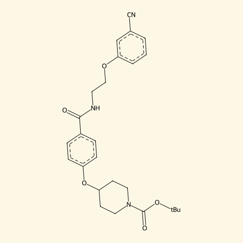 CC(C)(C)OC(=O)N1CCC(Oc2ccc(C(=O)NCCOc3cccc(C#N)c3)cc2)CC1